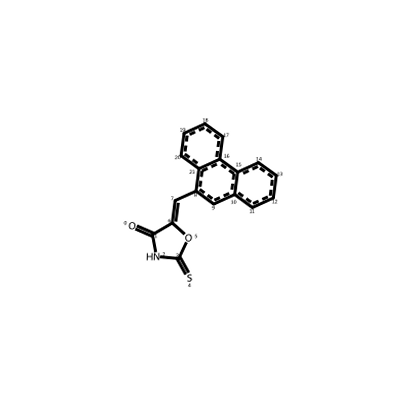 O=C1NC(=S)O/C1=C\c1cc2ccccc2c2ccccc12